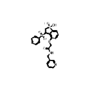 O=C(COc1cccc2c1C(S(=O)(=O)c1ccccc1)CS2(O)O)NCc1cccnc1